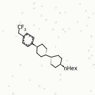 CCCCCC[C@H]1CC[C@H]([C@H]2CC[C@H](c3ccc(CC(F)(F)F)cc3)CC2)CC1